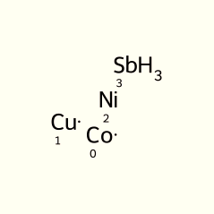 [Co].[Cu].[Ni].[SbH3]